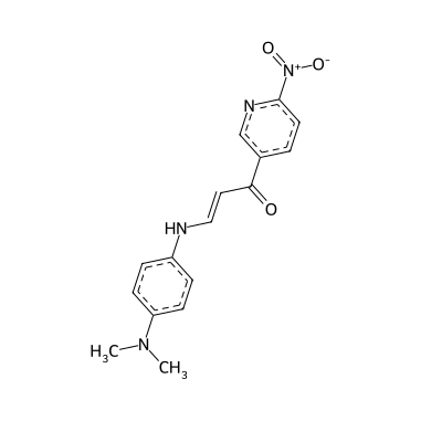 CN(C)c1ccc(NC=CC(=O)c2ccc([N+](=O)[O-])nc2)cc1